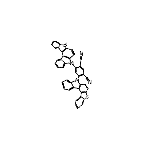 N#Cc1cc(C#N)c(-n2c3ccccc3c3c4c(ccc32)sc2ccccc24)cc1-n1c2ccccc2c2c3c(ccc21)sc1ccccc13